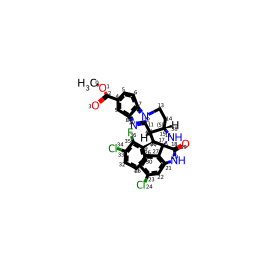 COC(=O)c1ccc2c(c1)nc1n2CC[C@@H]2N[C@@]3(C(=O)Nc4cc(Cl)ccc43)[C@@H](c3cccc(Cl)c3F)[C@H]12